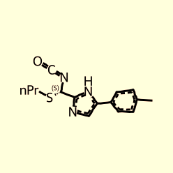 CCCS[C@H](N=C=O)c1ncc(-c2ccc(C)cc2)[nH]1